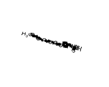 COCCOCCOCCOCCOCCOc1ccc(CCNC(=O)O)cc1